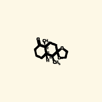 C[C@H]1[C@@H]2CCCC(=O)[C@@]2(C)CCC12OCCO2